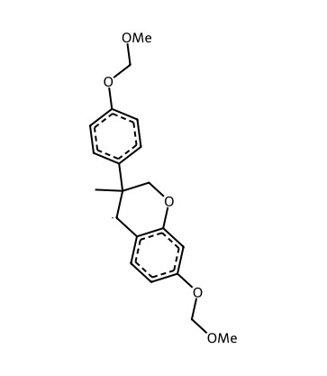 COCOc1ccc(C2(C)[CH]c3ccc(OCOC)cc3OC2)cc1